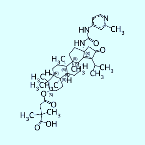 Cc1cc(NC(=O)N[C@@]23CC[C@]4(C)[C@H](CC[C@@H]5[C@@]6(C)CC[C@H](OC(=O)CC(C)(C)C(=O)O)C(C)(C)[C@@H]6CC[C@]54C)C2=C(C(C)C)C(=O)C3)ccn1